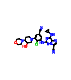 N#Cc1cc(Nc2nc(NC3CC3)c3ncc(C#N)n3n2)c(Cl)c(N2CC[C@@H](N3CCOCC3)[C@H](O)C2)c1